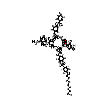 CCCCCCCCCCOc1ccc(C(=O)Oc2ccc(CCSP3(=O)OC[C@H]4O[C@@H](n5cnc6c(N)ncnc65)[C@H](F)[C@@H]4OP(=O)(SCc4ccc(OC(=O)c5ccc(C)cc5)cc4)OC[C@H]4O[C@@H](n5ccc(=O)[nH]c5=O)[C@H](O3)[C@@H]4F)cc2)cc1